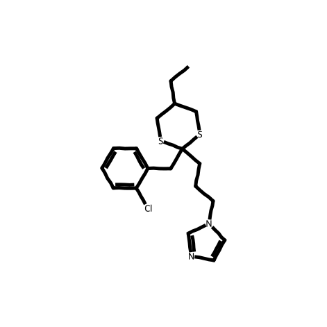 CCC1CSC(CCCn2ccnc2)(Cc2ccccc2Cl)SC1